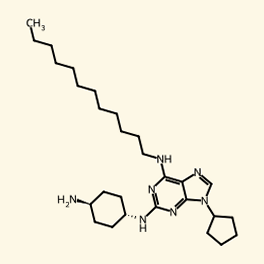 CCCCCCCCCCCCNc1nc(N[C@H]2CC[C@H](N)CC2)nc2c1ncn2C1CCCC1